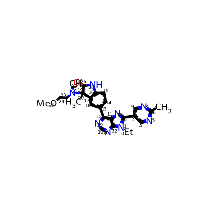 CCn1c(-c2cnc(C)nc2)nc2c(-c3ccc4c(c3)[C@](C)(N(C)CCOC)C(=O)N4)ncnc21